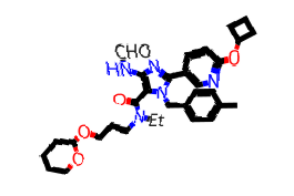 CCN(CCCOC1CCCCO1)C(=O)c1c(NC=O)nc(-c2ccc(OC3CCC3)nc2)n1Cc1ccc(C)cc1